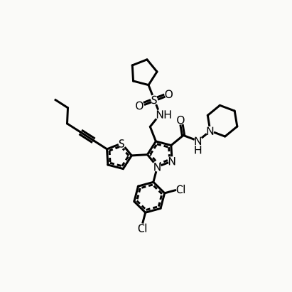 CCCC#Cc1ccc(-c2c(CNS(=O)(=O)C3CCCC3)c(C(=O)NN3CCCCC3)nn2-c2ccc(Cl)cc2Cl)s1